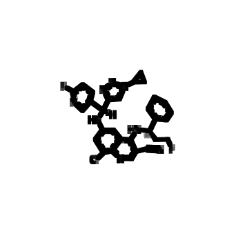 [2H]C(Nc1cc(Cl)c2ncc(C#N)c(N[C@H](CCF)c3ccccc3)c2c1)(c1ccc(F)nc1)c1cn(C2CC2)nn1